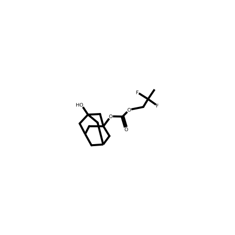 CC(F)(F)COC(=O)OC12CC3CC(CC(O)(C3)C1)C2